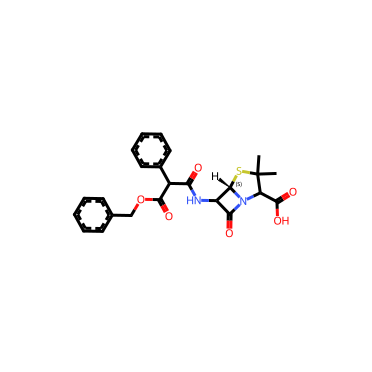 CC1(C)S[C@H]2C(NC(=O)C(C(=O)OCc3ccccc3)c3ccccc3)C(=O)N2C1C(=O)O